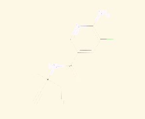 C#CC(C)(CC)NC(=O)c1cnc(N)c(Cl)c1